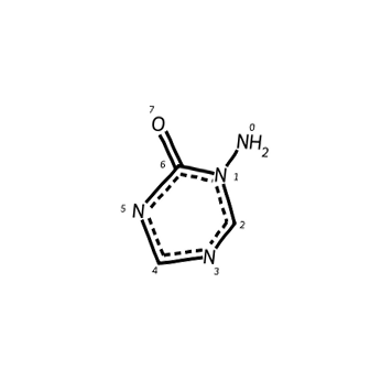 Nn1cncnc1=O